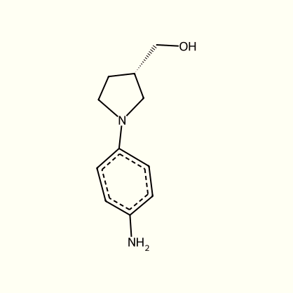 Nc1ccc(N2CC[C@H](CO)C2)cc1